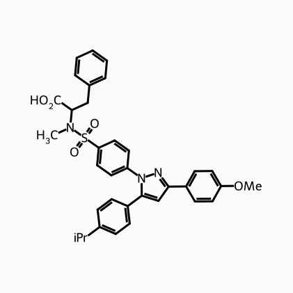 COc1ccc(-c2cc(-c3ccc(C(C)C)cc3)n(-c3ccc(S(=O)(=O)N(C)C(Cc4ccccc4)C(=O)O)cc3)n2)cc1